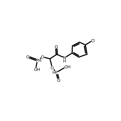 O=C(Nc1ccc(Cl)cc1)C(O[PH](=O)O)O[PH](=O)O